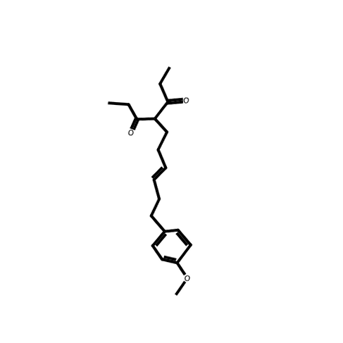 CCC(=O)C(CCC=CCCc1ccc(OC)cc1)C(=O)CC